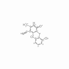 Cc1[nH]c(=O)c(Cc2c(Cl)cccc2Cl)cc1C#N